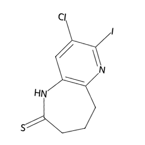 S=C1CCCc2nc(I)c(Cl)cc2N1